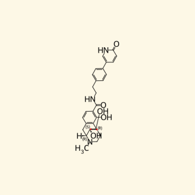 CN1CC[C@]23CC(O)CC[C@@]2(O)[C@H]1Cc1ccc(C(=O)NCCc2ccc(-c4ccc(=O)[nH]c4)cc2)c(O)c13